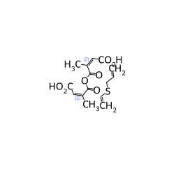 C/C(=C/C(=O)O)C(=O)OC(=O)/C(C)=C\C(=O)O.C=CCSC=C